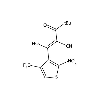 CC(C)(C)C(=O)C(C#N)=C(O)c1c(C(F)(F)F)csc1[N+](=O)[O-]